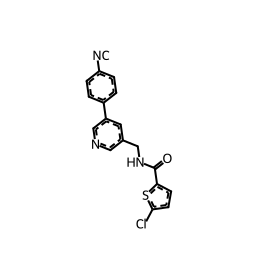 [C-]#[N+]c1ccc(-c2cncc(CNC(=O)c3ccc(Cl)s3)c2)cc1